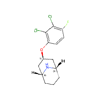 Fc1ccc(O[C@@H]2C[C@H]3CCC[C@@H](C2)N3)c(Cl)c1Cl